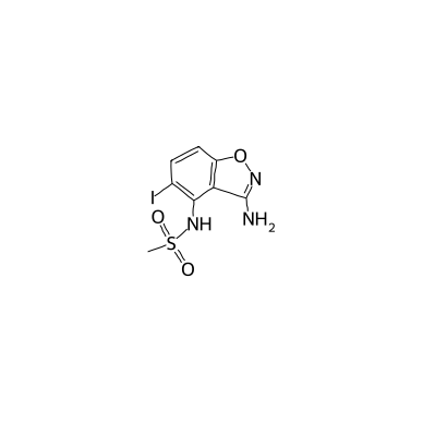 CS(=O)(=O)Nc1c(I)ccc2onc(N)c12